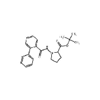 CC(C)(C)OC(=O)C1CCCN1NC(=O)c1ccccc1-c1[c]nccc1